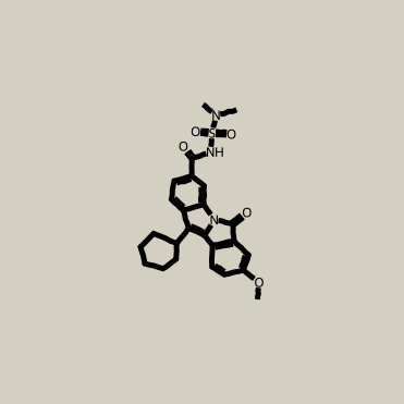 COc1ccc2c(c1)C(=O)n1c-2c(C2CCCCC2)c2ccc(C(=O)NS(=O)(=O)N(C)C)cc21